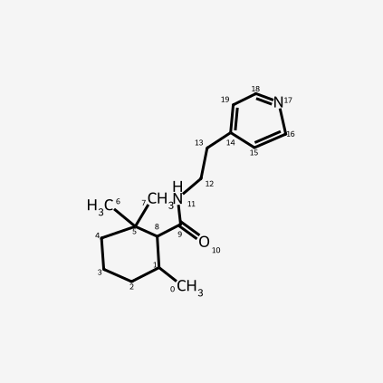 CC1CCCC(C)(C)C1C(=O)NCCc1ccncc1